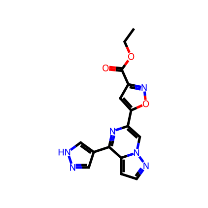 CCOC(=O)c1cc(-c2cn3nccc3c(-c3cn[nH]c3)n2)on1